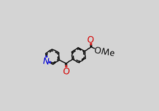 COC(=O)c1ccc(C(=O)c2cccnc2)cc1